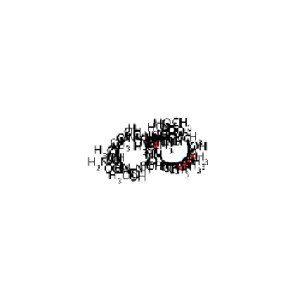 C/C1=C/C=C/[C@H](C)C(O)C(C)[C@@H](O)[C@@H](C)[C@H](C)[C@H](C)[C@@H](CO)/C=C/O[C@@]2(C)Oc3c(C)c(O)c4c(O)c(c(NC(C)C(C)C(=O)NCC5NC(=O)CNC(=O)C(O)CNC(=O)C(C(C)O)NC(=O)C(C(O)C(O)C(N)=O)NC(=O)C(C(C)C)CC(=O)C(CO)NC5=O)c(O)c4c3C2=O)NC1=O